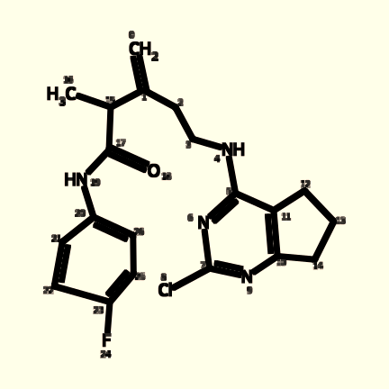 C=C(CCNc1nc(Cl)nc2c1CCC2)C(C)C(=O)Nc1ccc(F)cc1